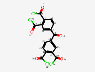 O=C(c1ccc(C(=O)Cl)c(C(=O)Cl)c1)c1ccc(C(=O)Cl)c(C(=O)Cl)c1